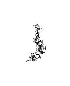 CCCS(=O)(=O)N1CCC(NC(=O)Nc2cnc3c(ccn3COCC[Si](C)(C)C)n2)C1